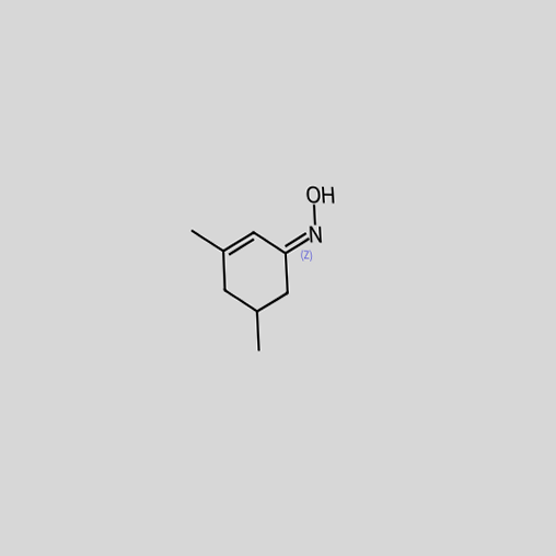 CC1=C/C(=N\O)CC(C)C1